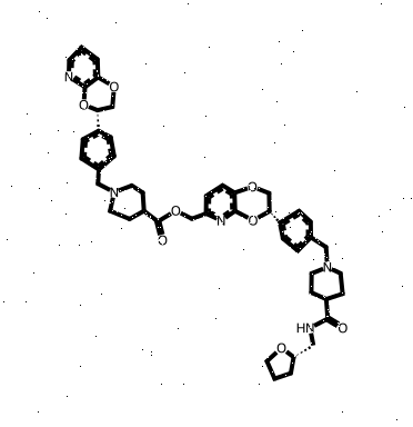 O=C(NC[C@@H]1CCCO1)C1CCN(Cc2ccc([C@H]3COc4ccc(COC(=O)C5CCN(Cc6ccc([C@H]7COc8cccnc8O7)cc6)CC5)nc4O3)cc2)CC1